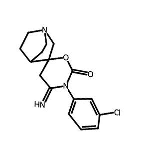 N=C1CC2(CN3CCC2CC3)OC(=O)N1c1cccc(Cl)c1